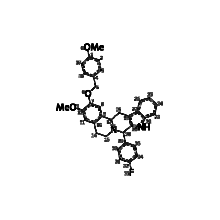 COc1ccc(COc2cc3c(cc2OC)CCN2C3Cc3c([nH]c4ccccc34)C2c2ccc(F)cc2)cc1